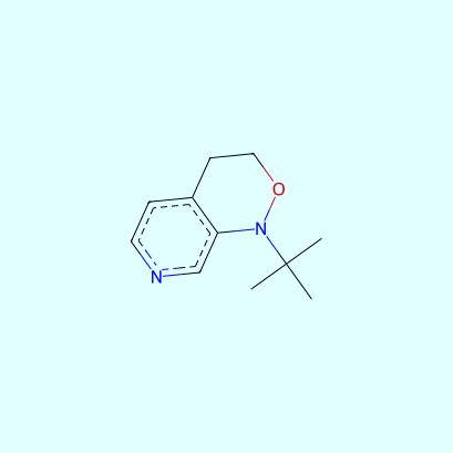 CC(C)(C)N1OCCc2ccncc21